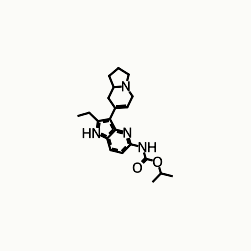 CCc1[nH]c2ccc(NC(=O)OC(C)C)nc2c1C1=CCN2CCCC2C1